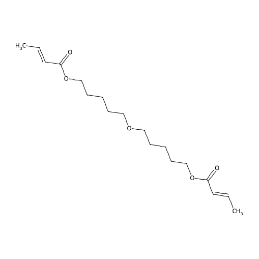 CC=CC(=O)OCCCCCOCCCCCOC(=O)C=CC